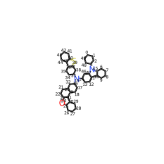 c1ccc(-n2c3ccccc3c3ccc(N(c4ccc5c(ccc6oc7ccccc7c65)c4)c4ccc5c(c4)sc4ccccc45)cc32)cc1